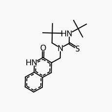 CC(C)(C)CN(Cc1cc2ccccc2[nH]c1=O)C(=S)NC(C)(C)C